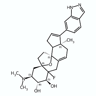 CN(C)[C@H]1C[C@@]23CC[C@@]4(O2)C(=CC[C@]2(C)C(c5ccc6cn[nH]c6c5)=CCC24)CC3(F)[C@@H](O)[C@@H]1O